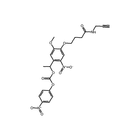 C#CCNC(=O)CCCOc1cc([N+](=O)[O-])c(C(C)OC(=O)Oc2ccc([N+](=O)[O-])cc2)cc1OC